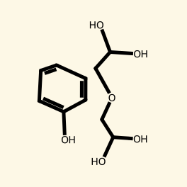 OC(O)COCC(O)O.Oc1ccccc1